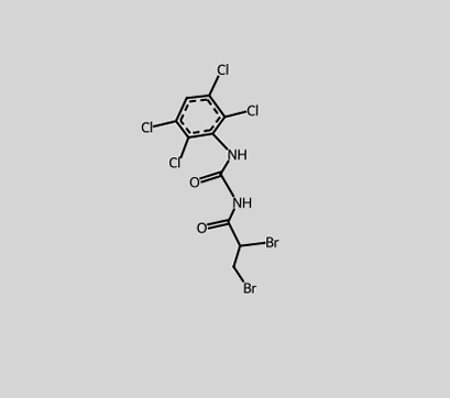 O=C(NC(=O)C(Br)CBr)Nc1c(Cl)c(Cl)cc(Cl)c1Cl